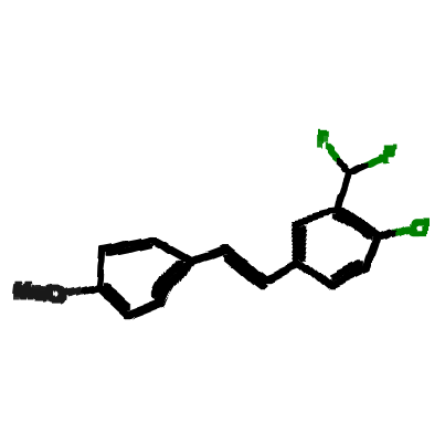 COc1ccc(C=Cc2ccc(Cl)c(C(F)F)c2)cc1